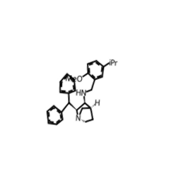 COc1ccc(C(C)C)cc1CN[C@H]1[C@H]2CC[N@@](C2)[C@H]1C(c1ccccc1)c1ccccc1